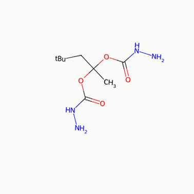 CC(C)(C)CC(C)(OC(=O)NN)OC(=O)NN